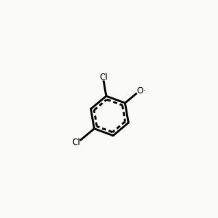 [O]c1ccc(Cl)cc1Cl